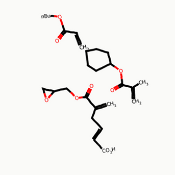 C=C(C)C(=O)OC1CCCCC1.C=C(CC=CC(=O)O)C(=O)OCC1CO1.C=CC(=O)OCCCC